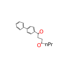 CCCC(=O)CCC(=O)c1ccc(-c2ccccc2)cc1